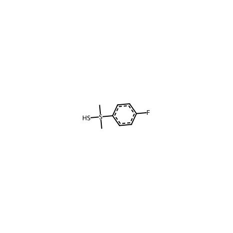 CS(C)(S)c1ccc(F)cc1